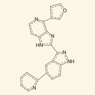 c1ccc(-c2ccc3[nH]nc(-c4nc5c(-c6ccoc6)nccc5[nH]4)c3c2)nc1